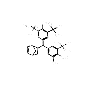 Cc1cc(C(c2cc(C(C)(C)C)c(O)c(C(C)(C)C)c2)C2CC3C=CC2C3)cc(C(C)(C)C)c1O